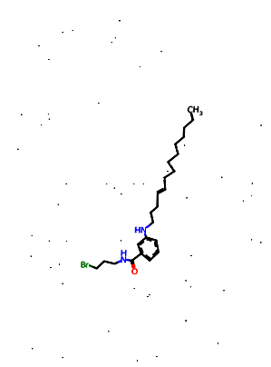 CCCCCCCCCC=CCCCNc1cccc(C(=O)NCCCBr)c1